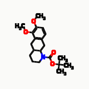 COc1ccc2c(c1OC)CC1CCCN(C(=O)OC(C)(C)C)C1C2